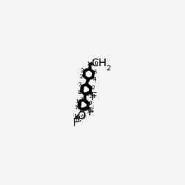 C=CC1CCC(c2ccc(-c3ccc(OCF)c(F)c3)c(F)c2)CC1